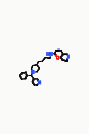 O=C(/C=C\c1cccnc1)NCCCCC1CCN(C(c2ccccc2)c2cccnc2)CC1